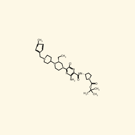 CC[C@H]1CN(c2nc(N)c(C(=O)N[C@@H]3CCN(C(=O)OC(C)(C)C)C3)nc2Cl)CCN1C1CCN(Cc2ccc(C)cc2)CC1